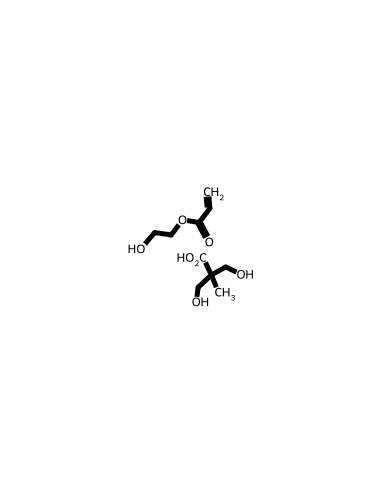 C=CC(=O)OCCO.CC(CO)(CO)C(=O)O